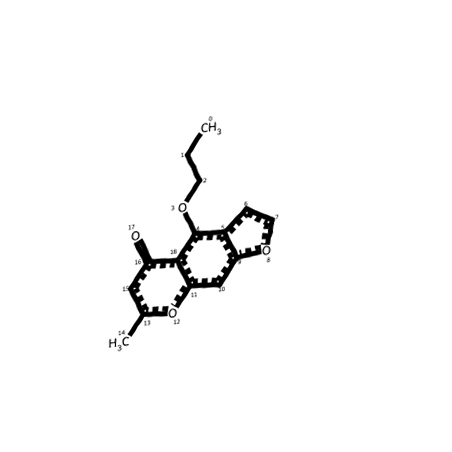 CCCOc1c2ccoc2cc2oc(C)cc(=O)c12